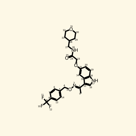 CC(=NOCc1ccc(C(F)(F)F)cc1)c1c[nH]c2ccc(OCC(=O)NCC3CCOCC3)cc12